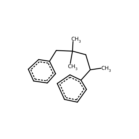 CC(CC(C)(C)Cc1ccccc1)c1ccccc1